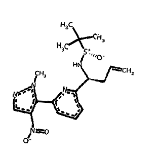 C=CC[C@H](N[S@@+]([O-])C(C)(C)C)c1cccc(-c2c([N+](=O)[O-])cnn2C)n1